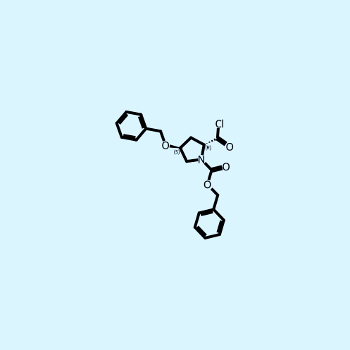 O=C(Cl)[C@H]1C[C@H](OCc2ccccc2)CN1C(=O)OCc1ccccc1